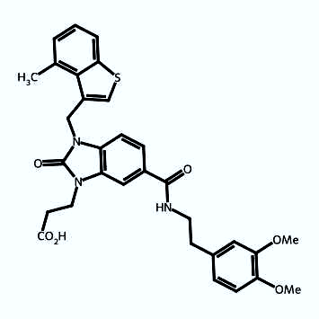 COc1ccc(CCNC(=O)c2ccc3c(c2)n(CCC(=O)O)c(=O)n3Cc2csc3cccc(C)c23)cc1OC